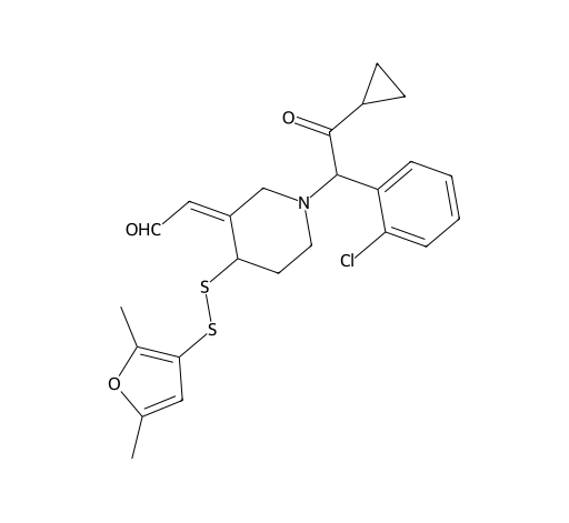 Cc1cc(SSC2CCN(C(C(=O)C3CC3)c3ccccc3Cl)C/C2=C/C=O)c(C)o1